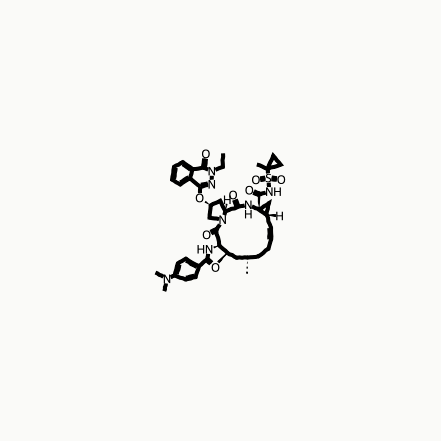 CCn1nc(O[C@@H]2C[C@H]3C(=O)N[C@]4(C(=O)NS(=O)(=O)C5(C)CC5)C[C@@H]4/C=C\CC[C@H](C)C[C@@H](C)[C@H](NC(=O)c4ccc(N(C)C)cc4)C(=O)N3C2)c2ccccc2c1=O